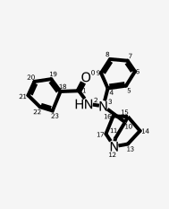 O=C(NN(c1ccccc1)C1CN2CCC1CC2)c1ccccc1